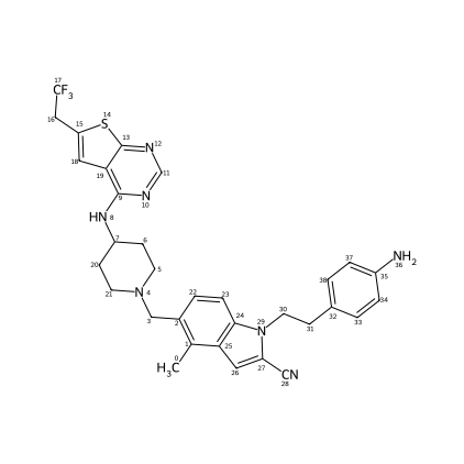 Cc1c(CN2CCC(Nc3ncnc4sc(CC(F)(F)F)cc34)CC2)ccc2c1cc(C#N)n2CCc1ccc(N)cc1